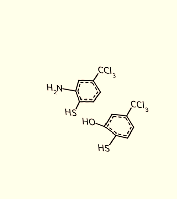 Nc1cc(C(Cl)(Cl)Cl)ccc1S.Oc1cc(C(Cl)(Cl)Cl)ccc1S